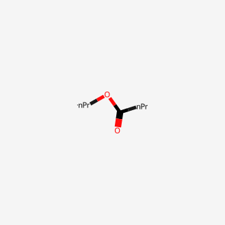 CC[CH]OC(=O)CCC